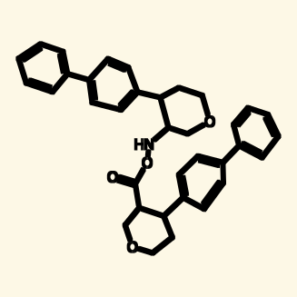 O=C(ONC1COCCC1c1ccc(-c2ccccc2)cc1)C1COCCC1c1ccc(-c2ccccc2)cc1